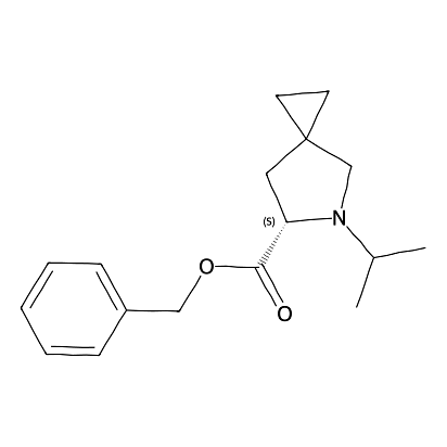 CC(C)N1CC2(CC2)C[C@H]1C(=O)OCc1ccccc1